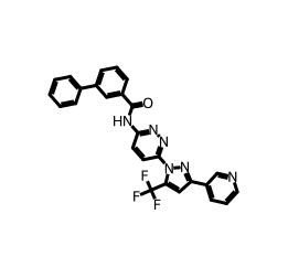 O=C(Nc1ccc(-n2nc(-c3cccnc3)cc2C(F)(F)F)nn1)c1cccc(-c2ccccc2)c1